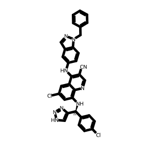 N#Cc1cnc2c(N[C@@H](c3ccc(Cl)cc3)c3c[nH]nn3)cc(Cl)cc2c1Nc1ccc2c(cnn2Cc2ccccc2)c1